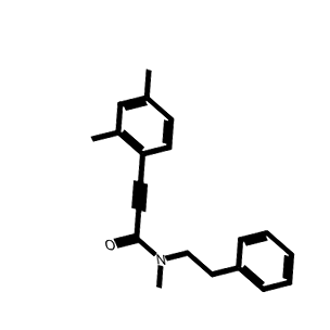 Cc1ccc(C#CC(=O)N(C)CCc2ccccc2)c(C)c1